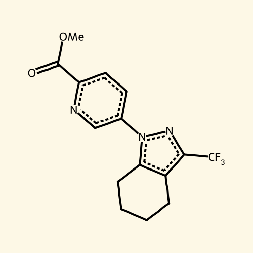 COC(=O)c1ccc(-n2nc(C(F)(F)F)c3c2CCCC3)cn1